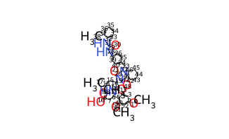 COc1ccc(C(CC(=O)O)NC(=O)C(CC(C)C)N2C(=O)N(Cc3ccc(NC(=O)Nc4ccccc4C)cc3)C3(CCCCC3)C2=O)c(OC)c1